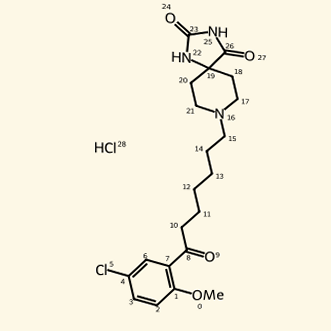 COc1ccc(Cl)cc1C(=O)CCCCCCN1CCC2(CC1)NC(=O)NC2=O.Cl